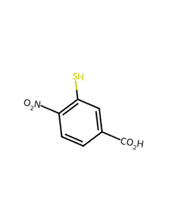 O=C(O)c1ccc([N+](=O)[O-])c(S)c1